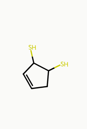 SC1C=CCC1S